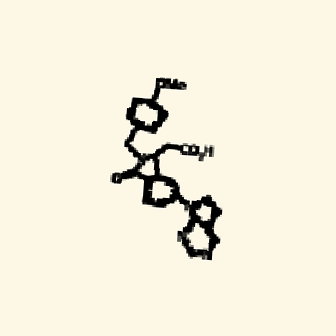 COc1ccc(CN2C(=O)c3ccc(-n4ccc5cncnc54)cc3C2CC(=O)O)cc1